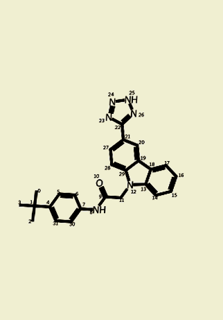 CC(C)(C)c1ccc(NC(=O)Cn2c3ccccc3c3cc(-c4nn[nH]n4)ccc32)cc1